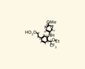 CCO[C@@H](c1ccc(CCC(=O)O)cc1Nc1cnc(OC)nc1)C(F)(F)F